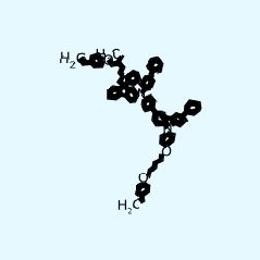 C=Cc1ccc(OCCCCCCOc2ccc(-n3c4ccc(-c5ccccc5)cc4c4cc(-c5ccc(N(c6ccc(-c7ccccc7)cc6)c6ccc7c(c6)C(CCCCC(CC)COc6ccc(C=C)cc6)(c6ccccc6)c6ccccc6-7)cc5)ccc43)cc2)cc1